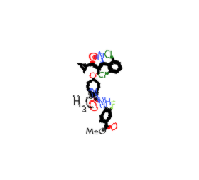 COC(=O)c1ccc(NC(=O)N2C3C[C@H](OCc4c(-c5c(Cl)cccc5Cl)noc4C4CC4)CC2[C@H](C)C3)c(F)c1